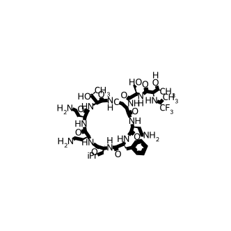 CC(C)C[C@@H]1NC(=O)[C@@H](Cc2ccccc2)NC(=O)[C@H](CCN)NC(=O)[C@@H](NC(=O)[C@@H](CO)NC(=O)[C@@H](N[C@H](C)C(F)(F)F)[C@@H](C)O)CCNC(=O)[C@H]([C@@H](C)O)NC(=O)[C@H](CCN)NC(=O)[C@H](CCN)NC1=O